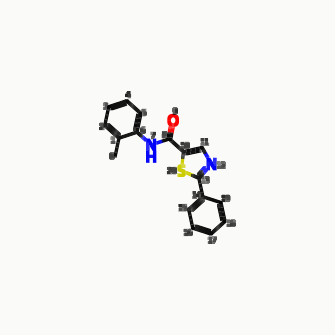 Cc1ccccc1NC(=O)c1cnc(-c2ccccc2)s1